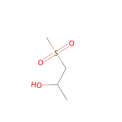 CC(O)CS(C)(=O)=O